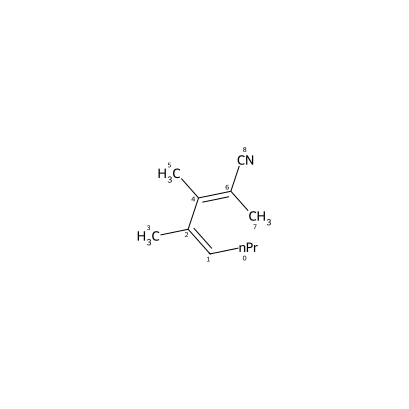 CCCC=C(C)C(C)=C(C)C#N